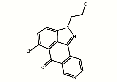 O=C1c2cnccc2-c2nn(CCO)c3ccc(Cl)c1c23